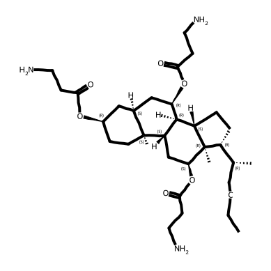 CCCC[C@@H](C)[C@H]1CC[C@H]2[C@@H]3[C@H](OC(=O)CCN)C[C@@H]4C[C@H](OC(=O)CCN)CC[C@]4(C)[C@H]3C[C@H](OC(=O)CCN)[C@]12C